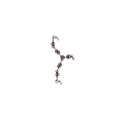 C=C(C)C(=O)OCCCCCCOC(=O)c1cc(OCCCCCCCCOC(=O)CCC(=O)OCCCCCCCCOc2ccc(C(=O)Oc3ccc([C@H]4CC[C@H](CCCCC)CC4)cc3)cc2)ccc1OCCCCCCCCOC(=O)CCC(=O)OCCCCCCCCOc1ccc(C(=O)Oc2ccc([C@H]3CC[C@H](CCCCC)CC3)cc2)cc1